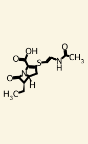 CC[C@H]1C(=O)N2C(C(=O)O)=C(SC=CNC(C)=O)C[C@H]12